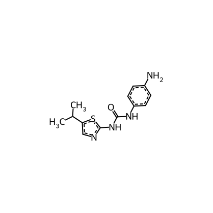 CC(C)c1cnc(NC(=O)Nc2ccc(N)cc2)s1